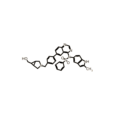 Cc1cc2cc(N(c3ncnc4ccc(-c5ccc(CN6CC7C(CO)C7C6)cc5)cc34)S(=O)(=O)c3ccccc3)ccc2[nH]1